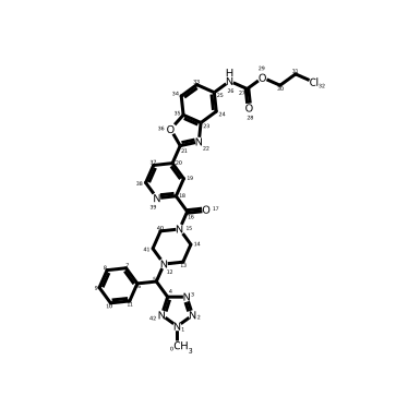 Cn1nnc(C(c2ccccc2)N2CCN(C(=O)c3cc(-c4nc5cc(NC(=O)OCCCl)ccc5o4)ccn3)CC2)n1